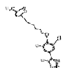 CCn1nnnc1-c1cc(Cl)c(OCCCCCc2cc(C)no2)c(Cl)c1